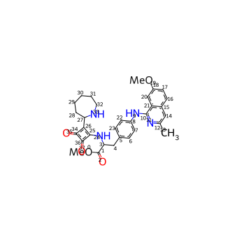 COC(=O)C(Cc1ccc(Nc2nc(C)cc3ccc(OC)cc23)cc1)Nc1c(C2CCCCCN2)c(=O)c1=O